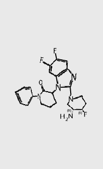 N[C@@H]1CN(c2nc3cc(F)c(F)cc3n2C2CCCN(c3ccccc3)C2=O)CC[C@H]1F